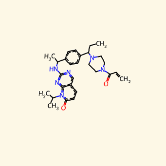 C=CC(=O)N1CCN(C(CC)c2ccc(C(C)Nc3ncc4ccc(=O)n(C(C)C)c4n3)cc2)CC1